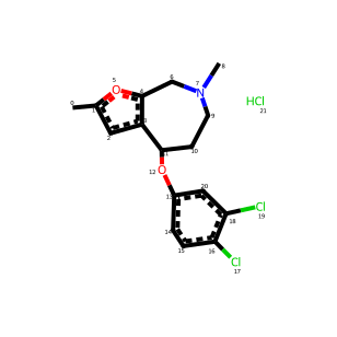 Cc1cc2c(o1)CN(C)CCC2Oc1ccc(Cl)c(Cl)c1.Cl